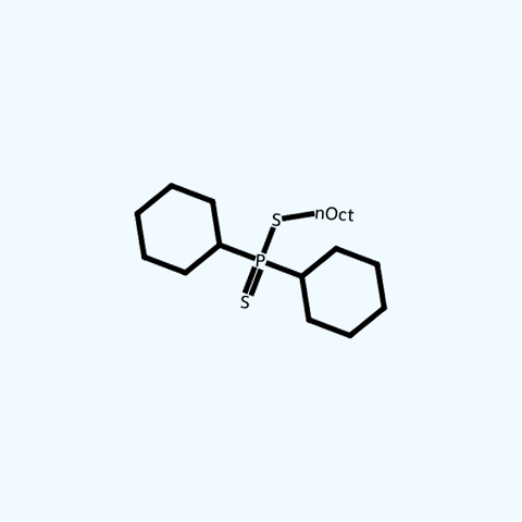 CCCCCCCCSP(=S)(C1CCCCC1)C1CCCCC1